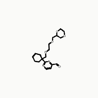 O=Cc1ccnc(C2(COCCOCC3COCCO3)CCCCC2)n1